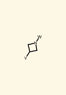 [V][CH]1C[N]([W])C1